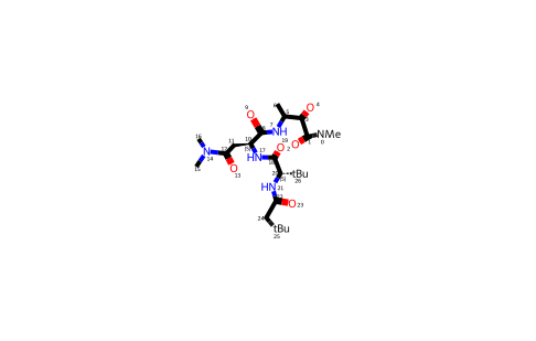 CNC(=O)C(=O)C(C)NC(=O)[C@H](CC(=O)N(C)C)NC(=O)[C@@H](NC(=O)CC(C)(C)C)C(C)(C)C